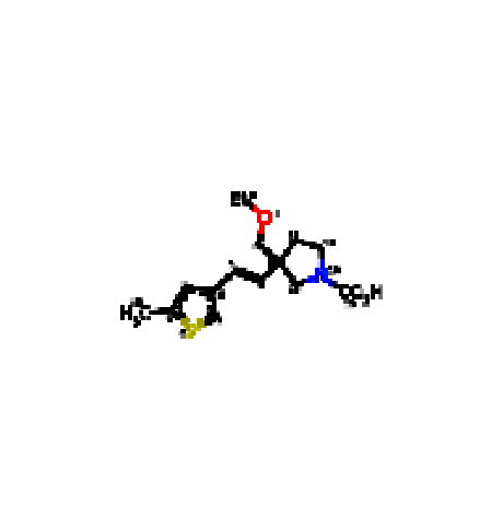 CCOCC1(C=Cc2csc(C)c2)CCN(C(=O)O)C1